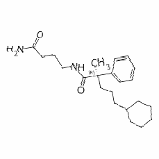 C[C@](CCCC1CCCCC1)(C(=O)NCCCC(N)=O)c1ccccc1